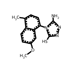 COc1ccc2c(C)ccc(-n3c(N)nnc3S)c2c1